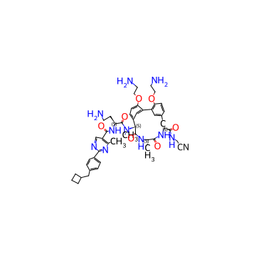 Cc1nc(-c2ccc(CC3CCC3)cc2)ncc1C(=O)N[C@@H](CCN)C(=O)N(C)[C@@H]1C(=O)N[C@@H](C)C(=O)N[C@H](C(=O)NCC#N)Cc2ccc(OCCN)c(c2)-c2cc1ccc2OCCN